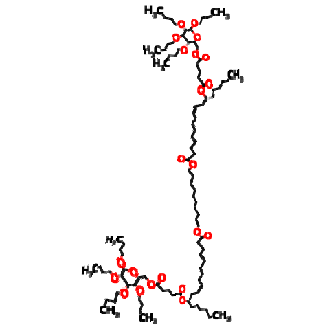 CCCCCC[C@H](C/C=C\CCCCCCCC(=O)OCCCCCCCCCCOC(=O)CCCCCCC/C=C\C[C@@H](CCCCCC)OC(=O)CCCC(=O)OCC1OC(OCCCC)[C@@H](OCCCC)C(OCCCC)[C@H]1OCCCC)OC(=O)CCCC(=O)OCC1OC(OCCCC)[C@@H](OCCCC)C(OCCCC)[C@H]1OCCCC